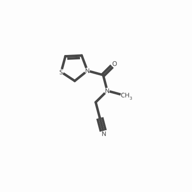 CN(CC#N)C(=O)N1C=CSC1